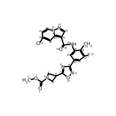 COC(=O)N1CC(c2nc(-c3cc(F)c(C)c(NC(=O)c4cnn5ccc(Cl)cc45)c3)no2)C1